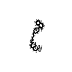 O=C1CCc2ccc(OCCCCN3CCN(c4c(F)ccc5ccccc45)CC3)nc2N1